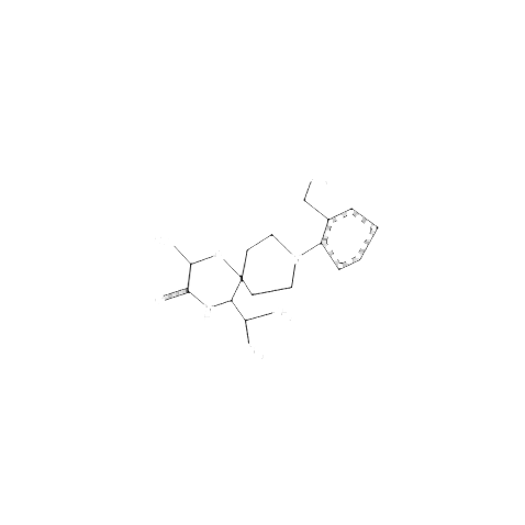 CCc1ccccc1N1CCC2(CC1)OC(C)C(=O)NC2C(C)C